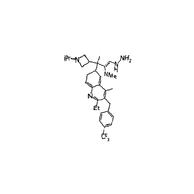 CCc1nc2c(c(C)c1Cc1ccc(C(F)(F)F)cc1)=CC(C(C)(/C(=C/NN)NC)C1CN(C(C)C)C1)CC=2